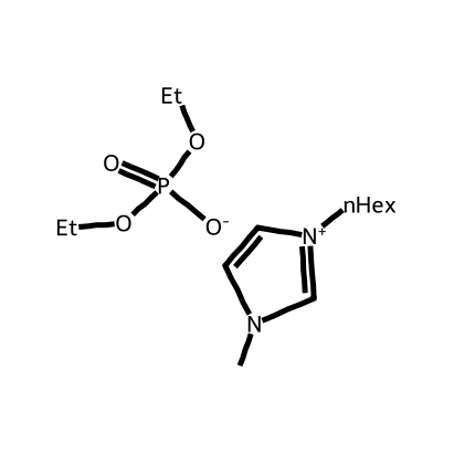 CCCCCC[n+]1ccn(C)c1.CCOP(=O)([O-])OCC